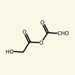 O=CC(=O)OC(=O)CO